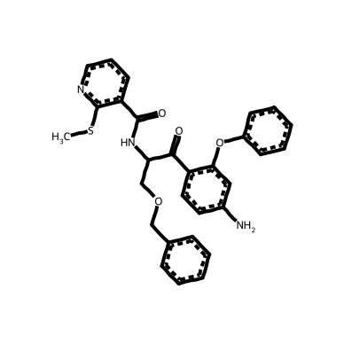 CSc1ncccc1C(=O)NC(COCc1ccccc1)C(=O)c1ccc(N)cc1Oc1ccccc1